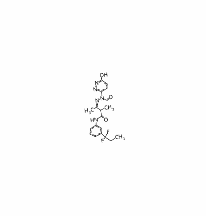 CCC(F)(F)c1cccc(NC(=O)C(C)/C(C)=N\N(C=O)c2ccc(O)nn2)c1